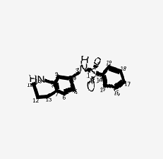 O=S(=O)(Nc1ccc2c(c1)NCCC2)c1ccccc1